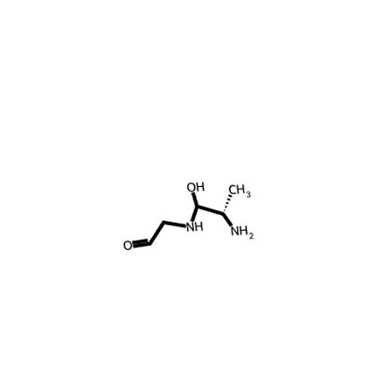 C[C@H](N)C(O)NCC=O